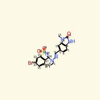 CC(C)CN(/N=C/c1ccc2[nH]c(=O)n(C)c2c1)C1=NS(=O)(=O)c2cc(Br)ccc21